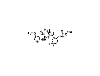 C=N/C(=N\C(C(=O)N1CC(F)(F)CC[C@@H]1CNC(=O)OC(C)(C)C)=C(C)C)Nc1cc(OC(F)(F)F)ccn1